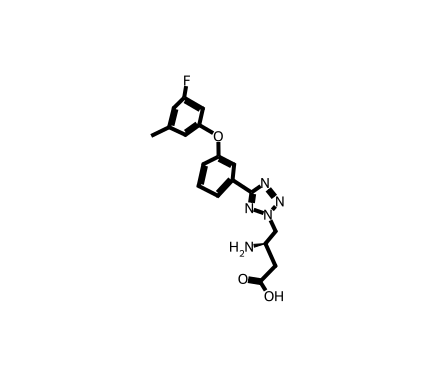 Cc1cc(F)cc(Oc2cccc(-c3nnn(C[C@H](N)CC(=O)O)n3)c2)c1